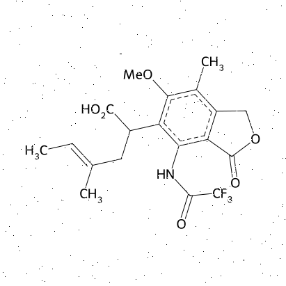 CC=C(C)CC(C(=O)O)c1c(NC(=O)C(F)(F)F)c2c(c(C)c1OC)COC2=O